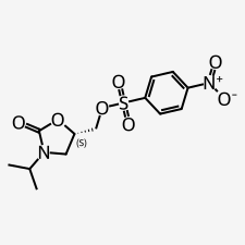 CC(C)N1C[C@@H](COS(=O)(=O)c2ccc([N+](=O)[O-])cc2)OC1=O